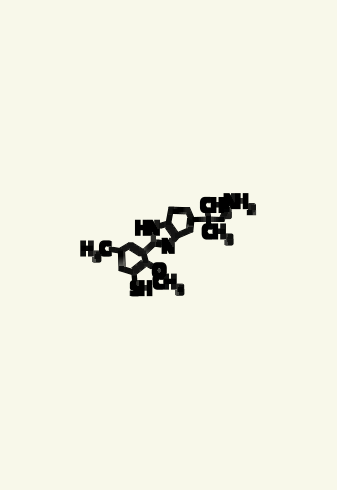 COc1c(S)cc(C)cc1-c1nc2cc(C(C)(C)CN)ccc2[nH]1